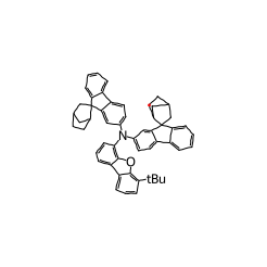 CC(C)(C)c1cccc2c1oc1c(N(c3ccc4c(c3)C3(CC5CCC3C5)c3ccccc3-4)c3ccc4c(c3)C3(CC5CCC3C5)c3ccccc3-4)cccc12